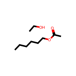 CCCCCCOC(C)=O.CCO